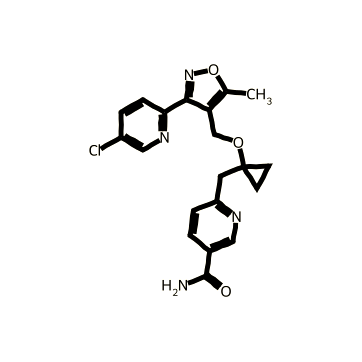 Cc1onc(-c2ccc(Cl)cn2)c1COC1(Cc2ccc(C(N)=O)cn2)CC1